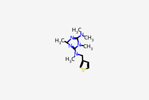 CC1N=C(N(C)C)N(C)C(N(C)Cc2ccsc2)=N1